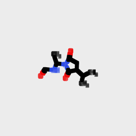 CC(C)C1CC(=O)N(C(C)NC=O)C1=O